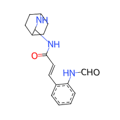 O=CNc1ccccc1C=CC(=O)NC1NC2CCC1CC2